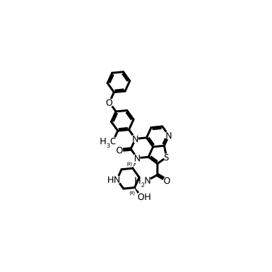 Cc1cc(Oc2ccccc2)ccc1N1C(=O)N([C@H]2CNC[C@H](O)C2)c2c(C(N)=O)sc3nccc1c23